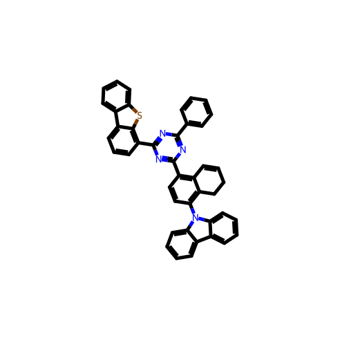 C1=Cc2c(-c3nc(-c4ccccc4)nc(-c4cccc5c4sc4ccccc45)n3)ccc(-n3c4ccccc4c4ccccc43)c2CC1